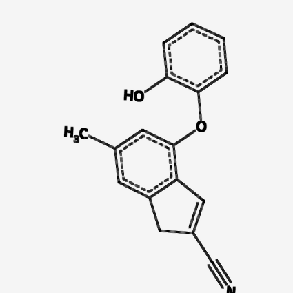 Cc1cc2c(c(Oc3ccccc3O)c1)C=C(C#N)C2